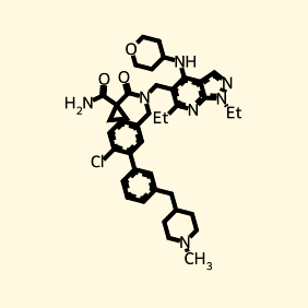 CCc1nc2c(cnn2CC)c(NC2CCOCC2)c1CN(Cc1ccc(Cl)c(-c2cccc(CC3CCN(C)CC3)c2)c1)C(=O)C1(C(N)=O)CC1